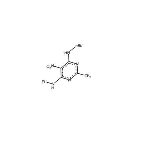 CCCCNc1nc(C(F)(F)F)nc(NCC)c1[N+](=O)[O-]